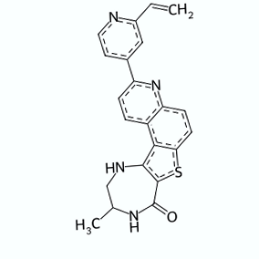 C=Cc1cc(-c2ccc3c(ccc4sc5c(c43)NCC(C)NC5=O)n2)ccn1